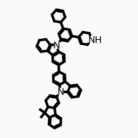 CC1(C)c2ccccc2C2=CC(n3c4ccccc4c4cc(-c5ccc6c(c5)c5c(n6-c6cc(C7=CCNCC7)cc(C7CC=CCC7)c6)CCC=C5)ccc43)=CCC21